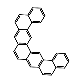 c1ccc2c(c1)ccc1cc3ccc4cc5ccc6ccccc6c5cc4c3cc12